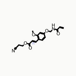 C=CC(=O)NCOc1ccc(/C=C/C(=O)OCCC#N)c(OC)c1